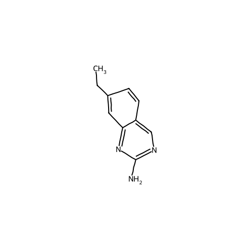 CCc1ccc2cnc(N)nc2c1